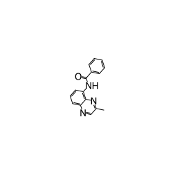 Cc1cnc2cccc(NC(=O)c3ccccc3)c2n1